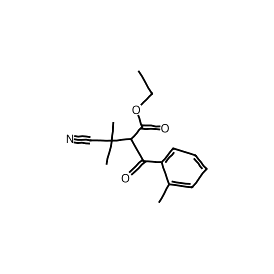 CCOC(=O)C(C(=O)c1ccccc1C)C(C)(C)C#N